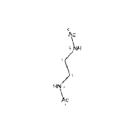 CC(=O)N[CH]CNC(C)=O